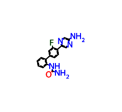 NC(=O)Nc1ccccc1-c1ccc(-c2cnc(N)cn2)c(F)c1